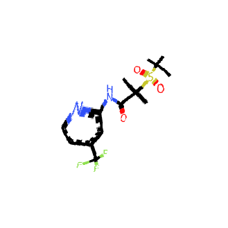 CC(C)(C)S(=O)(=O)C(C)(C)C(=O)Nc1cc(C(F)(F)F)ccn1